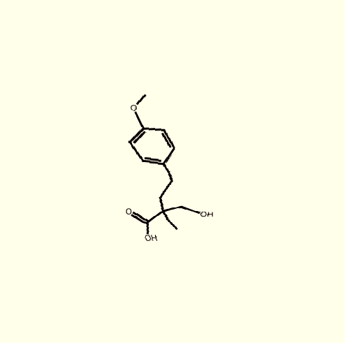 COc1ccc(CCC(C)(CO)C(=O)O)cc1